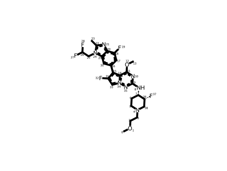 COCCN1CC[C@H](Nc2nc(OC)c3c(-c4cc(F)c5nc(C)n(CC(F)F)c5c4)c(F)cn3n2)[C@H](F)C1